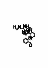 NC1CCCCC1.NCC(N)C(=O)O.O=Cc1ccccc1Br